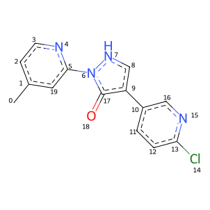 Cc1ccnc(-n2[nH]cc(-c3ccc(Cl)nc3)c2=O)c1